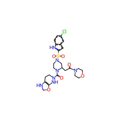 O=C(CC1CN(S(=O)(=O)c2cc3cc(Cl)ccc3[nH]2)CCN1C(=O)N1CCC2=C(N1)OCN2)N1CCOCC1